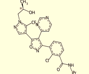 CC(C)NC(=O)c1cccc(-c2noc(-c3cnn(C[C@@H](C)O)c3C(F)(F)F)c2-c2ccncn2)c1Cl